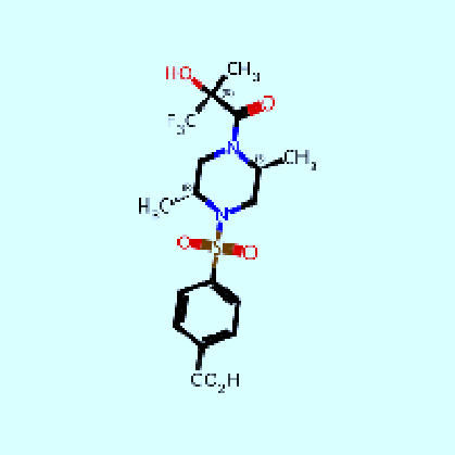 C[C@@H]1CN(C(=O)[C@@](C)(O)C(F)(F)F)[C@@H](C)CN1S(=O)(=O)c1ccc(C(=O)O)cc1